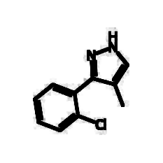 Cc1c[nH]nc1-c1ccccc1Cl